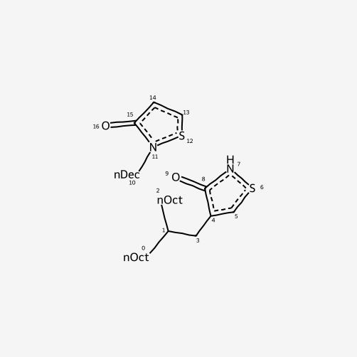 CCCCCCCCC(CCCCCCCC)Cc1cs[nH]c1=O.CCCCCCCCCCn1sccc1=O